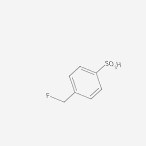 O=S(=O)(O)c1ccc(CF)cc1